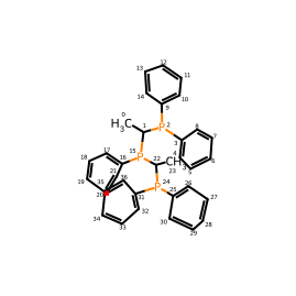 CC(P(c1ccccc1)c1ccccc1)P(c1ccccc1)C(C)P(c1ccccc1)c1ccccc1